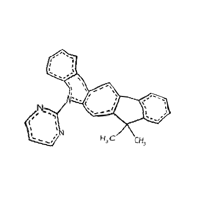 CC1(C)c2ccccc2-c2cc3c4ccccc4n(-c4ncccn4)c3cc21